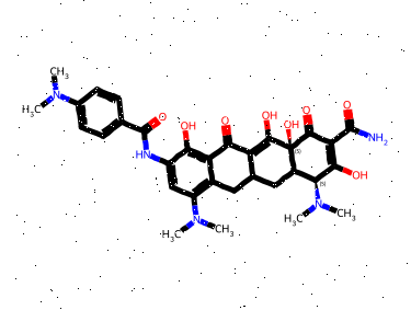 CN(C)c1ccc(C(=O)Nc2cc(N(C)C)c3c(c2O)C(=O)C2=C(O)[C@]4(O)C(=O)C(C(N)=O)=C(O)[C@@H](N(C)C)C4CC2C3)cc1